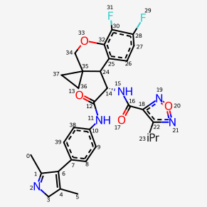 CC1=NCC(C)=C1c1ccc(NC(=O)[C@@H](NC(=O)c2nonc2C(C)C)C2c3ccc(F)c(F)c3OCC23CC3)cc1